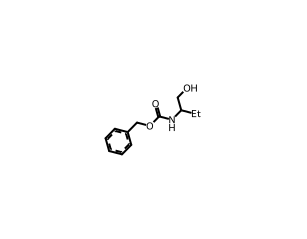 CCC(CO)NC(=O)OCc1ccccc1